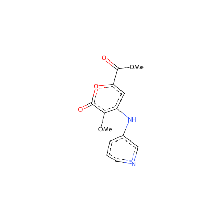 COC(=O)c1cc(Nc2cccnc2)c(OC)c(=O)o1